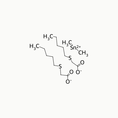 CCCCCSCC(=O)[O-].CCCCCSCC(=O)[O-].[CH3][Sn+2][CH3]